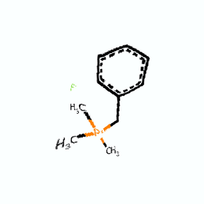 C[P+](C)(C)Cc1ccccc1.[F-]